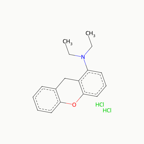 CCN(CC)c1cccc2c1Cc1ccccc1O2.Cl.Cl